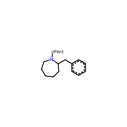 CCCCCN1CCCCCC1Cc1ccccc1